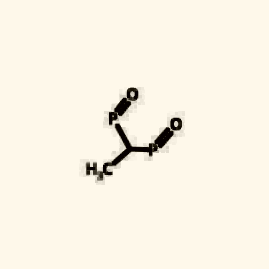 CC(P=O)P=O